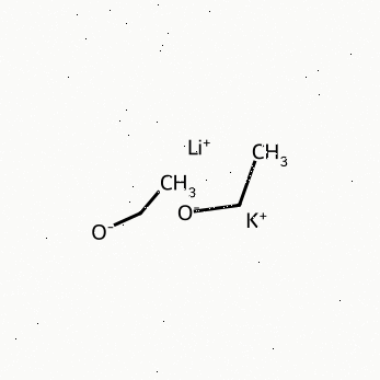 CC[O-].CC[O-].[K+].[Li+]